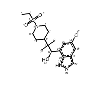 CCS(=O)(=O)N1CCC(C(C)(C)[C@H](O)c2cc(Cl)cc3cn[nH]c23)CC1